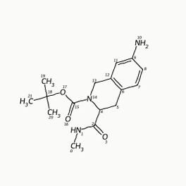 CNC(=O)C1Cc2ccc(N)cc2CN1C(=O)OC(C)(C)C